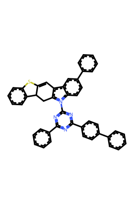 C1=C2Sc3ccccc3C2Cc2c1c1cc(-c3ccccc3)ccc1n2-c1nc(-c2ccccc2)nc(-c2ccc(-c3ccccc3)cc2)n1